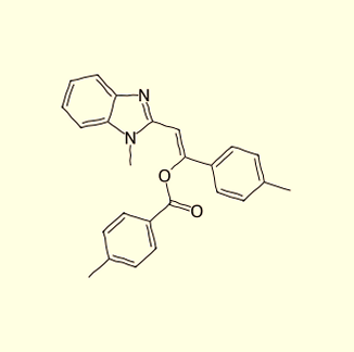 Cc1ccc(C(=O)OC(=Cc2nc3ccccc3n2C)c2ccc(C)cc2)cc1